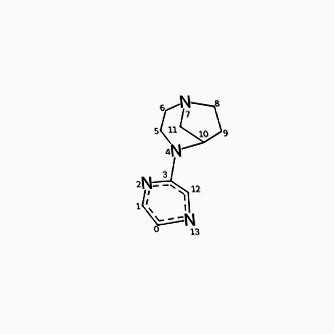 c1cnc(N2CCN3CCC2C3)cn1